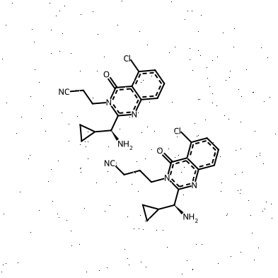 N#CCCCn1c([C@@H](N)C2CC2)nc2cccc(Cl)c2c1=O.N#CCCn1c([C@@H](N)C2CC2)nc2cccc(Cl)c2c1=O